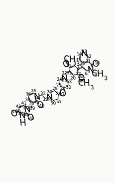 COc1cc(-c2cn(C)c(=O)c3cnccc23)c(OC)cc1CN1CCC(OC2CCN(CCn3cccc(Cn4ccc(=O)[nH]c4=O)c3=O)CC2)CC1